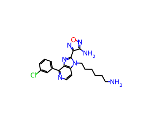 NCCCCCCn1c(-c2nonc2N)nc2c(-c3cccc(Cl)c3)nccc21